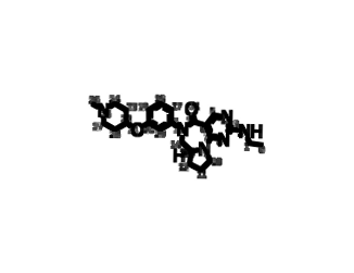 CCNc1ncc2c(n1)N1CCC[C@H]1CN(c1cccc(OC3CCN(C)CC3)c1)C2=O